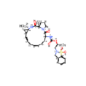 CC(C)(C)C(CN1Cc2ccccc2S1(=O)=O)OC(=O)N[C@H]1CCCCC/C=C\C2C[C@@]2(C(=O)O)NC(=O)[C@@H]2CCCN2C1=O